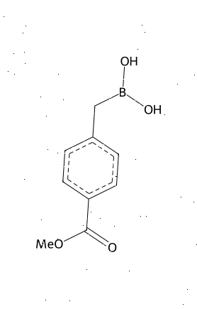 COC(=O)c1ccc(CB(O)O)cc1